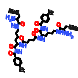 CCc1ccc(C(=O)NC(=O)C(CCCCNC(=O)C(N)CSC)NC(=O)CCCC(=O)NC(CCCCNC(=O)C(N)CSC)C(=O)NC(=O)c2ccc(CC)cc2)cc1